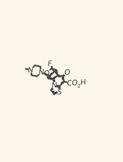 CN1CCN(c2c(F)c3c4c(=O)c(C(=O)O)c5sccn5c4c2OC3)CC1